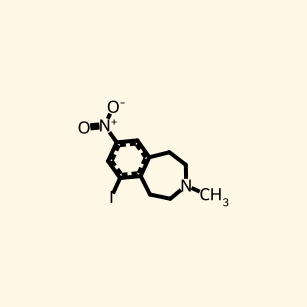 CN1CCc2cc([N+](=O)[O-])cc(I)c2CC1